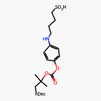 CCCCCCCCCCCC(C)(C)OC(=O)Oc1ccc(NCCCCS(=O)(=O)O)cc1